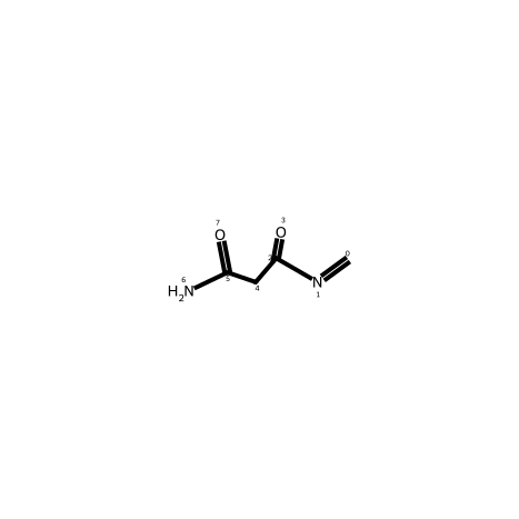 C=NC(=O)CC(N)=O